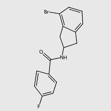 O=C(NC1Cc2cccc(Br)c2C1)c1ccc(F)cc1